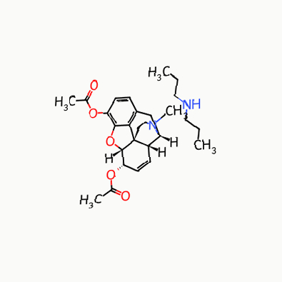 CC(=O)Oc1ccc2c3c1O[C@H]1[C@@H](OC(C)=O)C=C[C@H]4[C@@H](C2)N(C)CC[C@@]341.CCCNCCC